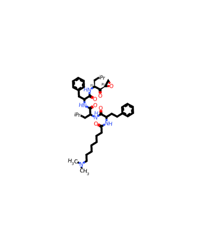 CC(C)CC(NC(=O)C(CCc1ccccc1)NC(=O)CCCCCCCN(C)C)C(=O)NC(Cc1ccccc1)C(=O)N[C@@H](CC(C)C)C(=O)[C@H]1CO1